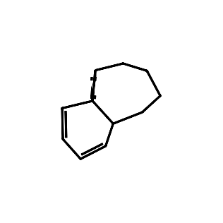 C1=CC2CCCCC3C=CC=CC23C=C1